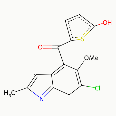 COC1=C(Cl)CC2=NC(C)=[C]C2=C1C(=O)c1ccc(O)s1